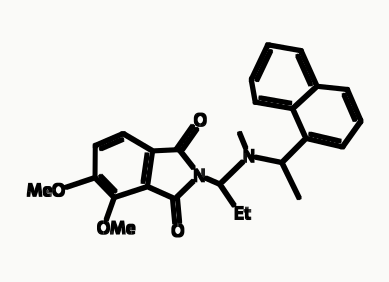 CCC(N1C(=O)c2ccc(OC)c(OC)c2C1=O)N(C)C(C)c1cccc2ccccc12